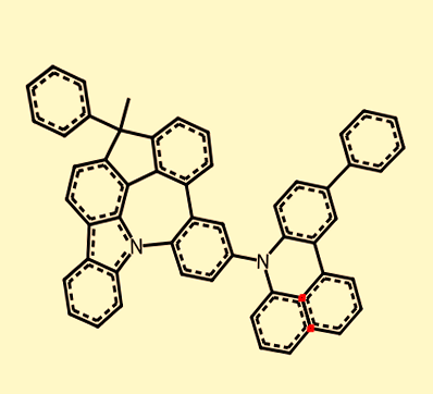 CC1(c2ccccc2)c2cccc3c2-c2c1ccc1c4ccccc4n(c21)-c1ccc(N(c2ccccc2)c2ccc(-c4ccccc4)cc2-c2ccccc2)cc1-3